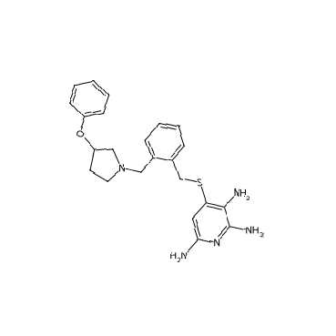 Nc1cc(SCc2ccccc2CN2CCC(Oc3ccccc3)C2)c(N)c(N)n1